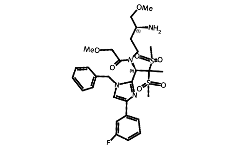 COCC(=O)N(CC[C@H](N)COC)[C@H](c1nc(-c2cccc(F)c2)cn1Cc1ccccc1)C(C)(S(C)(=O)=O)S(C)(=O)=O